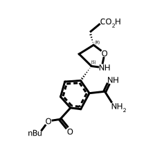 CCCCOC(=O)c1ccc([C@@H]2C[C@H](CC(=O)O)ON2)c(C(=N)N)c1